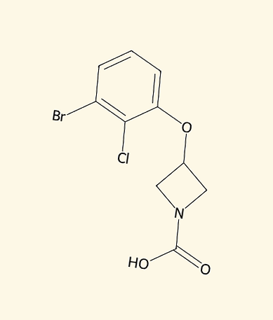 O=C(O)N1CC(Oc2cccc(Br)c2Cl)C1